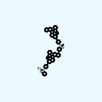 CCc1nc2ccccc2n1-c1ccc(-c2ccc3c4c(ccc3c2)-c2c(ccc3c(-c5ccc6c(c5)nc(C)n6-c5ccc(-c6ccc7c8c(ccc7c6)-c6c(ccc7ccccc67)C86c7ccccc7-c7ccccc76)cc5)cccc23)C42c3ccccc3-c3ccccc32)cc1